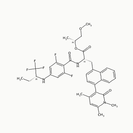 CC[C@@H](Nc1cc(F)c(C(=O)N[C@@H](Cc2ccc(-c3c(C)cc(C)n(C)c3=O)c3ccccc23)C(=O)O[C@H](C)COC)c(F)c1)C(F)(F)F